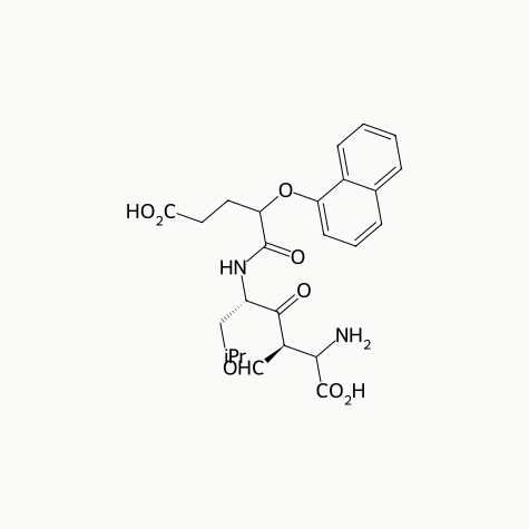 CC(C)C[C@H](NC(=O)C(CCC(=O)O)Oc1cccc2ccccc12)C(=O)[C@H](C=O)C(N)C(=O)O